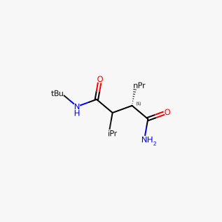 CCC[C@H](C(N)=O)C(C(=O)NC(C)(C)C)C(C)C